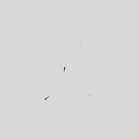 C[C@@H]1[C@@H](NC(=O)C(F)(F)F)C[C@H](O)O[C@H]1C